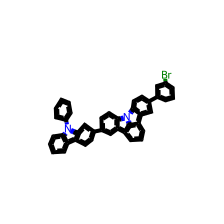 Brc1cccc(-c2ccc3c(c2)c2cccc4c5cc(-c6ccc7c8ccccc8n(-c8ccccc8)c7c6)ccc5n3c24)c1